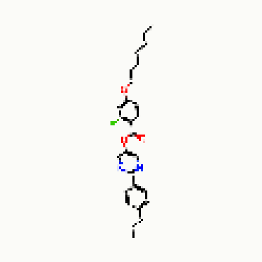 CCCCCCCOc1ccc(C(=O)Oc2cnc(-c3ccc(CCC)cc3)nc2)c(F)c1